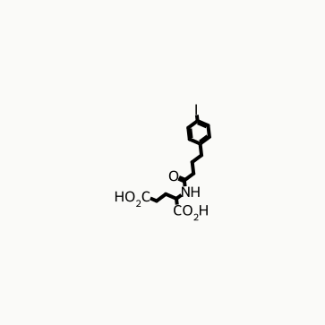 O=C(O)CCC(NC(=O)CCCc1ccc(I)cc1)C(=O)O